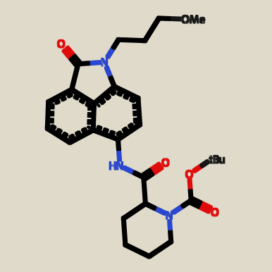 COCCCN1C(=O)c2cccc3c(NC(=O)C4CCCCN4C(=O)OC(C)(C)C)ccc1c23